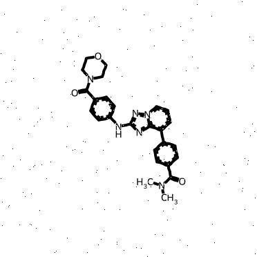 CN(C)C(=O)c1ccc(-c2cccn3nc(Nc4ccc(C(=O)N5CCOCC5)cc4)nc23)cc1